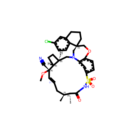 CO[C@@]1(C#N)/C=C/C[C@H](C)[C@@H](C)C(=O)NS(=O)(=O)c2ccc3c(c2)N(C[C@@H]2CC[C@H]21)C[C@@]1(CCCc2cc(Cl)ccc21)CO3